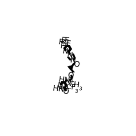 C[C@@H](COCC1CC1C(=O)N1CCN(c2ccc(S(F)(F)(F)(F)F)cn2)CC1)Nc1cn[nH]c(=O)c1C(F)(F)F